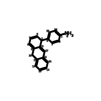 Nc1ccc(C2C=CC=C3Cc4ccccc4C=C32)cc1